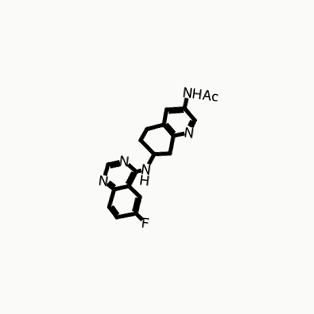 CC(=O)Nc1cnc2c(c1)CCC(Nc1ncnc3ccc(F)cc13)C2